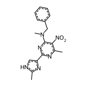 Cc1nc(-c2nc(C)c([N+](=O)[O-])c(N(C)Cc3ccccc3)n2)c[nH]1